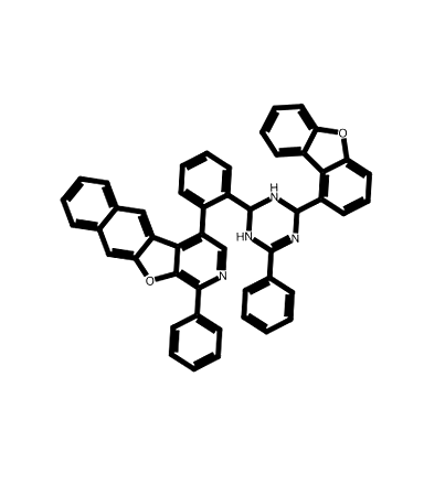 c1ccc(C2=NC(c3cccc4oc5ccccc5c34)NC(c3ccccc3-c3cnc(-c4ccccc4)c4oc5cc6ccccc6cc5c34)N2)cc1